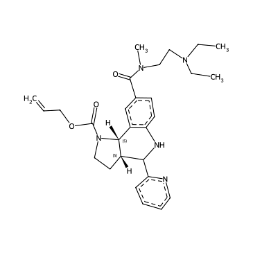 C=CCOC(=O)N1CC[C@H]2C(c3ccccn3)Nc3ccc(C(=O)N(C)CCN(CC)CC)cc3[C@H]21